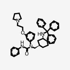 O=C(Nc1ccccc1)N(C[C@@H]1CCC[C@H](NC(c2ccccc2)(c2ccccc2)c2ccccc2)C1)c1cccc(OCCN2CCCC2)c1